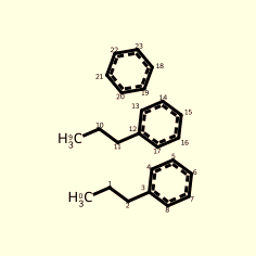 CCCc1ccccc1.CCCc1ccccc1.c1ccccc1